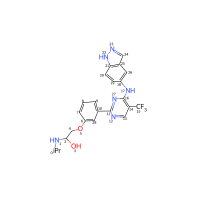 CC(C)NC(O)COc1cccc(-c2ncc(C(F)(F)F)c(Nc3ccc4[nH]ncc4c3)n2)c1